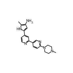 Cc1[nH]c(-c2ccnc(-c3ccc(N4CCN(C)CC4)nc3)c2)cc1N